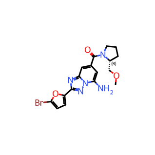 COC[C@H]1CCCN1C(=O)c1cc(N)n2nc(-c3ccc(Br)o3)nc2c1